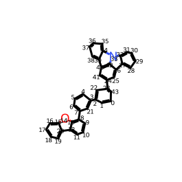 c1cc(-c2cccc(-c3cccc4c3oc3ccccc34)c2)cc(-c2cc3c4ccccc4n4c5ccccc5c(c2)c34)c1